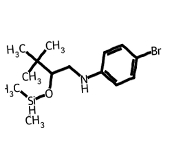 C[SiH](C)OC(CNc1ccc(Br)cc1)C(C)(C)C